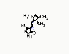 CC1=CN(C)/C(=C/C=C2/C(=O)N(C)N=C2C#N)N1C